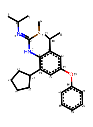 CSC(=NC(C)C)Nc1c(C(C)C)cc(Oc2ccccc2)cc1C1CCCC1